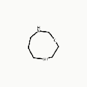 B1CCCCNCCC1